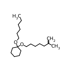 C=C(C)CCCCCOC1(OCCCCCC)CCCCC1